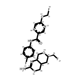 NC1=N[C@@]2(c3cc(NC(=O)c4cnc(OCF)cn4)ccc3F)CO[C@@H](CF)CC2CS1